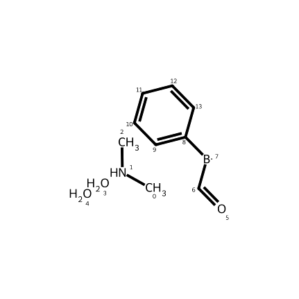 CNC.O.O.O=C[B]c1ccccc1